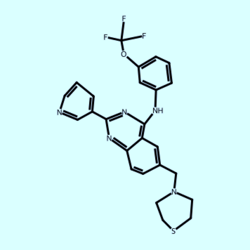 FC(F)(F)Oc1cccc(Nc2nc(-c3cccnc3)nc3ccc(CN4CCSCC4)cc23)c1